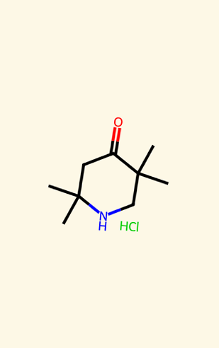 CC1(C)CC(=O)C(C)(C)CN1.Cl